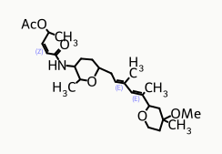 COC1(C)CCOC(/C(C)=C/C(C)=C/CC2CCC(NC(=O)/C=C\C(C)OC(C)=O)C(C)O2)C1